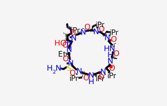 C/C=C/C[C@@H](C)[C@@H](O)C1C(=O)N[C@H](CC)C(=O)N(C)C(SCCN)C(=O)N(C)[C@@H](CC(C)C)C(=O)N[C@H](C(C)C)C(=O)N(C)C(CC(C)C)C(=O)N[C@H](C)C(=O)N[C@@H](C)C(=O)N(C)[C@H](CC(C)C)C(=O)N(C)[C@H](CC(C)C)C(=O)N(C)[C@@H](C(C)C)C(=O)N1C